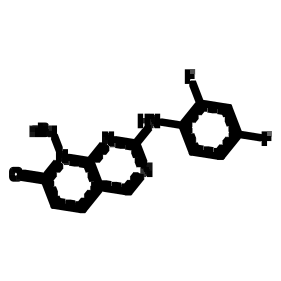 CCCCn1c(=O)ccc2cnc(Nc3ccc(F)cc3F)nc21